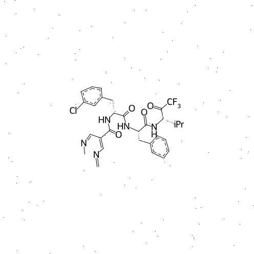 C=N/C=C(\C=N/C)C(=O)N[C@H](Cc1cccc(Cl)c1)C(=O)N[C@@H](Cc1ccccc1)C(=O)N[C@H](C(=O)C(F)(F)F)C(C)C